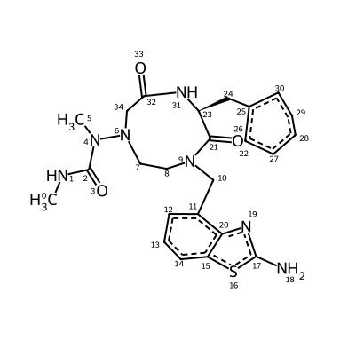 CNC(=O)N(C)N1CCN(Cc2cccc3sc(N)nc23)C(=O)[C@H](Cc2ccccc2)NC(=O)C1